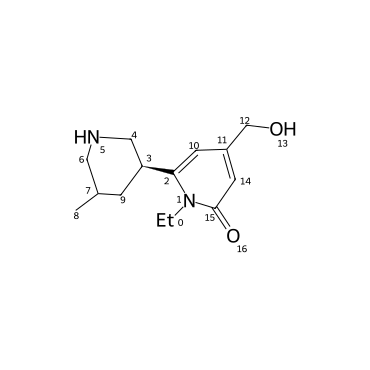 CCn1c([C@@H]2CNCC(C)C2)cc(CO)cc1=O